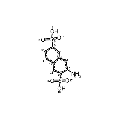 Nc1cc2cc(S(=O)(=O)O)ccc2cc1S(=O)(=O)O